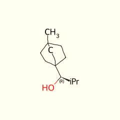 CC(C)[C@@H](O)C12CCC(C)(CC1)CC2